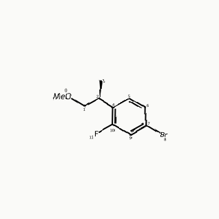 COC[C@@H](C)c1ccc(Br)cc1F